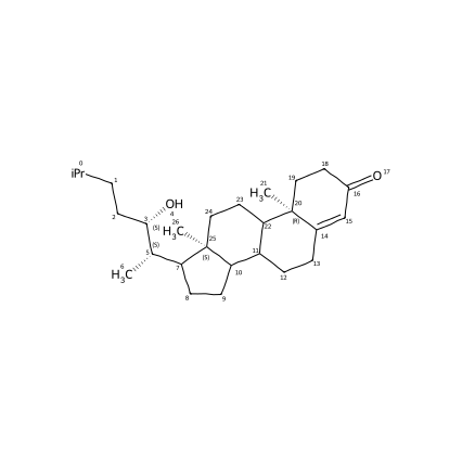 CC(C)CC[C@H](O)[C@@H](C)C1CCC2C3CCC4=CC(=O)CC[C@]4(C)C3CC[C@@]21C